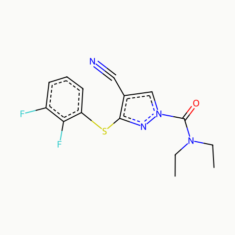 CCN(CC)C(=O)n1cc(C#N)c(Sc2cccc(F)c2F)n1